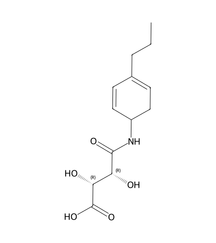 CCCC1=CCC(NC(=O)[C@H](O)[C@@H](O)C(=O)O)C=C1